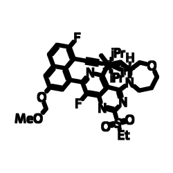 CCS(=O)(=O)c1nc2c3c(nc(-c4cc(OCOC)cc5ccc(F)c(C#C[Si](C(C)C)(C(C)C)C(C)C)c45)c(F)c3n1)C(C)=C[C@H]1COCCCN21